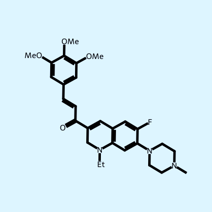 CCN1CC(C(=O)C=Cc2cc(OC)c(OC)c(OC)c2)=Cc2cc(F)c(N3CCN(C)CC3)cc21